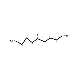 CCCCCCCCCCCCCC=O.[V]